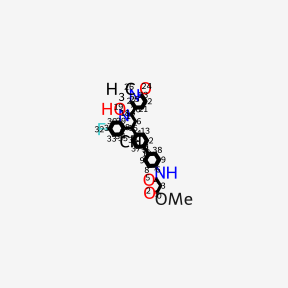 COC(=O)CC(=O)Nc1ccc(-c2ccc(C(CC(=NO)c3ccc(=O)n(C)c3)c3ccc(F)cc3C)cc2)cc1